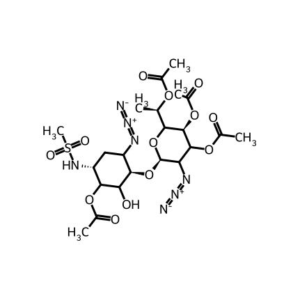 CC(=O)OC1C(N=[N+]=[N-])[C@@H](O[C@@H]2C(N=[N+]=[N-])C[C@@H](NS(C)(=O)=O)C(OC(C)=O)C2O)OC([C@@H](C)OC(C)=O)[C@H]1OC(C)=O